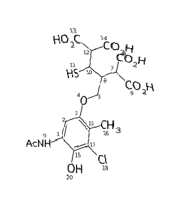 CC(=O)Nc1cc(OCC(C(C(=O)O)C(=O)O)C(S)C(C(=O)O)C(=O)O)c(C)c(Cl)c1O